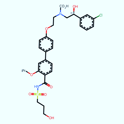 CC(C)Oc1cc(-c2ccc(OCCN(C[C@@H](O)c3cccc(Cl)c3)C(=O)O)cc2)ccc1C(=O)NS(=O)(=O)CCCO